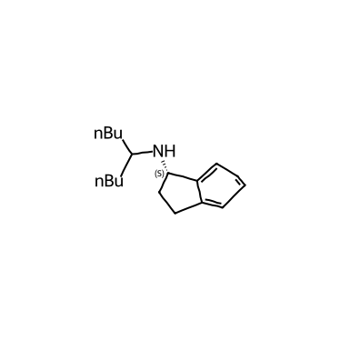 CCCCC(CCCC)N[C@H]1CCc2ccccc21